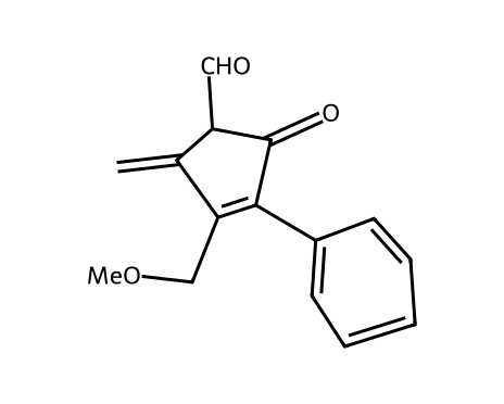 C=C1C(COC)=C(c2ccccc2)C(=O)C1C=O